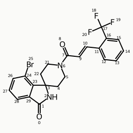 O=C1NC2(CCN(C(=O)/C=C/c3ccccc3C(F)(F)F)CC2)c2c(Br)cccc21